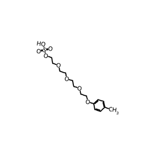 Cc1ccc(OCCOCCOCCOCCOS(=O)(=O)O)cc1